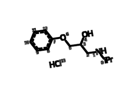 CC(C)NCC(O)COc1ccccc1.Cl